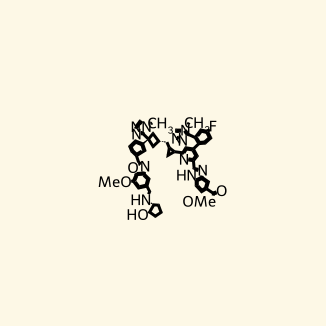 COC(=O)c1ccc2[nH]c(-c3cc(-c4ccc(F)cc4-c4nncn4C)cc(C4CC4C[C@H]4C[C@@](c5cccc(-c6nc7cc(CN[C@@H]8CCC[C@@H]8O)cc(OC)c7o6)c5)(c5nncn5C)C4)n3)nc2c1